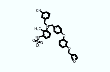 [C-]#[N+]c1cccc(CN(Cc2ccc(Oc3cccc(OCc4ccoc4)c3)cc2)c2cccc(NS(=O)(=O)CC)c2C)c1